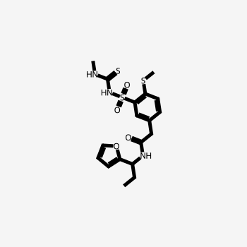 CCC(NC(=O)Cc1ccc(SC)c(S(=O)(=O)NC(=S)NC)c1)c1ccco1